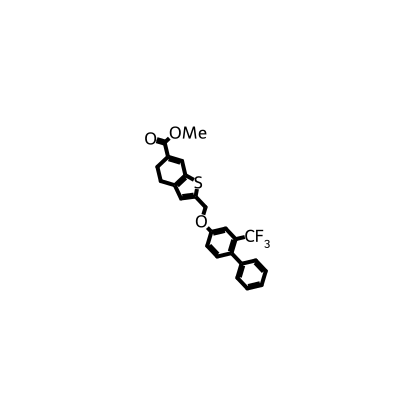 COC(=O)C1=Cc2sc(COc3ccc(-c4ccccc4)c(C(F)(F)F)c3)cc2CC1